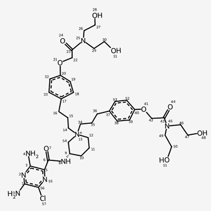 Nc1nc(N)c(C(=O)N[C@H]2CCC[N+](CCCc3ccc(OCC(=O)N(CCO)CCO)cc3)(CCCc3ccc(OCC(=O)N(CCO)CCO)cc3)C2)nc1Cl